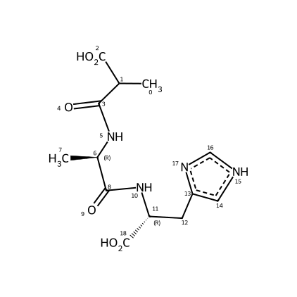 CC(C(=O)O)C(=O)N[C@H](C)C(=O)N[C@H](Cc1c[nH]cn1)C(=O)O